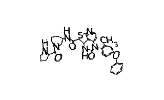 Cc1cc(Oc2ccccc2)ccc1N1C(=O)NC2c3c1ccnc3SC2C(=O)N[C@@H]1CCCN(C(=O)[C@H]2CCCN2)C1